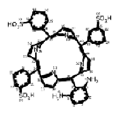 Nc1cccc(N)c1C1=C2C=CC(=N2)C(c2cccc(S(=O)(=O)O)c2)=C2C=CC(=N2)C(c2cccc(S(=O)(=O)O)c2)=C2C=CC(=N2)C(c2cccc(S(=O)(=O)O)c2)=C2C=CC1=N2